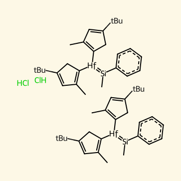 CC1=[C]([Hf]([C]2=C(C)C=C(C(C)(C)C)C2)=[Si](C)c2ccccc2)CC(C(C)(C)C)=C1.CC1=[C]([Hf]([C]2=C(C)C=C(C(C)(C)C)C2)=[Si](C)c2ccccc2)CC(C(C)(C)C)=C1.Cl.Cl